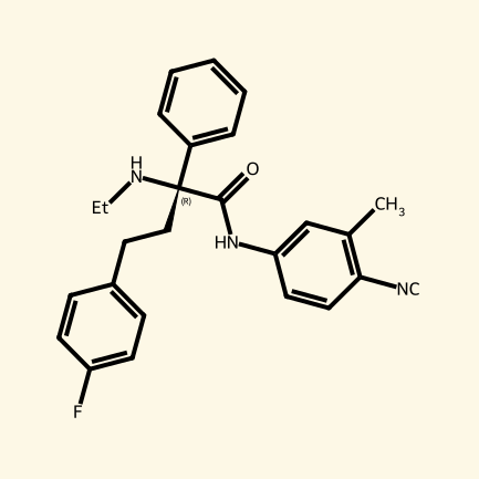 [C-]#[N+]c1ccc(NC(=O)[C@](CCc2ccc(F)cc2)(NCC)c2ccccc2)cc1C